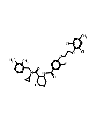 Cc1cc(Cl)c(OCCOc2ccc(C(=O)NC3CCNCC3C(=O)N(Cc3cccc(C)c3C)C3CC3)cc2F)c(Cl)c1